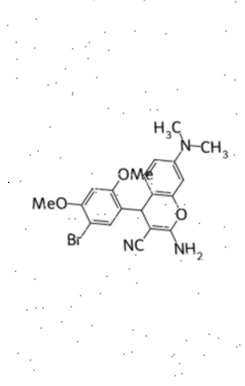 COc1cc(OC)c(C2C(C#N)=C(N)Oc3cc(N(C)C)ccc32)cc1Br